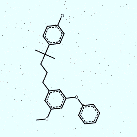 COc1cc(CCCC(C)(C)c2ccc(Cl)cc2)cc(Oc2ccccc2)c1